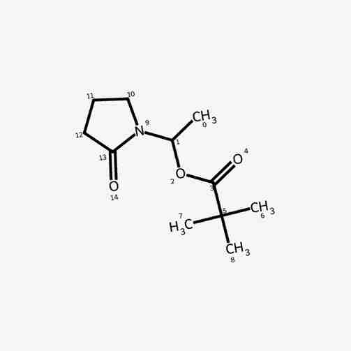 CC(OC(=O)C(C)(C)C)N1CCCC1=O